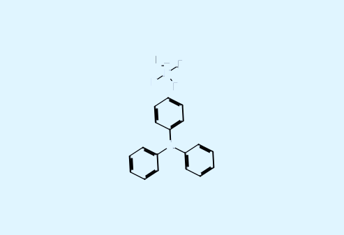 F[PH-](F)(F)F.c1ccc([S+](c2ccccc2)c2ccccc2)cc1